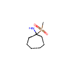 CS(=O)(=O)C1([NH])CCCCCC1